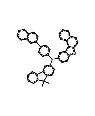 CC1(C)c2ccccc2-c2cc(N(c3ccc(-c4ccc5ccccc5c4)cc3)c3ccc4oc5ccc6ccccc6c5c4c3)ccc21